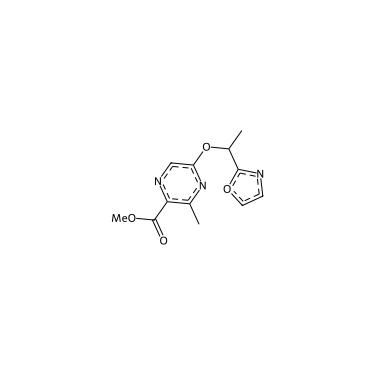 COC(=O)c1ncc(OC(C)c2ncco2)nc1C